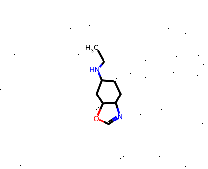 CCNC1CCC2N=COC2C1